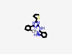 FC(F)(F)c1ccccc1-c1nc(Nc2n[nH]c3ccccc23)nc(-c2cccs2)n1